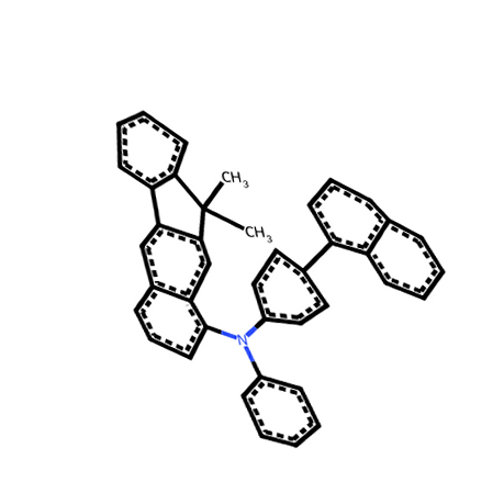 CC1(C)c2ccccc2-c2cc3cccc(N(c4ccccc4)c4ccc(-c5cccc6ccccc56)cc4)c3cc21